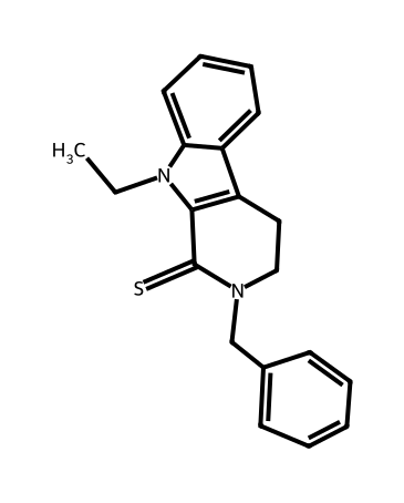 CCn1c2c(c3ccccc31)CCN(Cc1ccccc1)C2=S